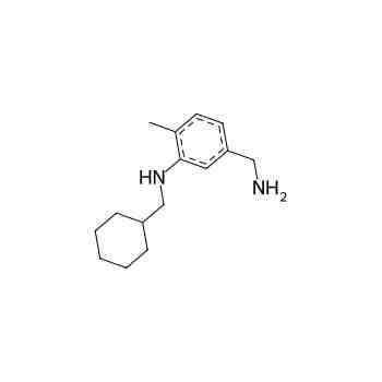 Cc1ccc(CN)cc1NCC1CCCCC1